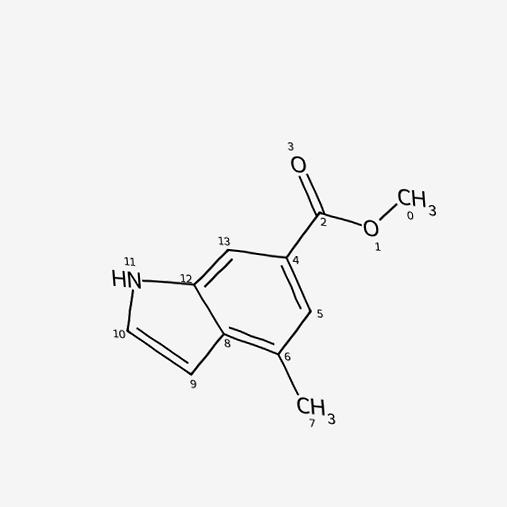 COC(=O)c1cc(C)c2cc[nH]c2c1